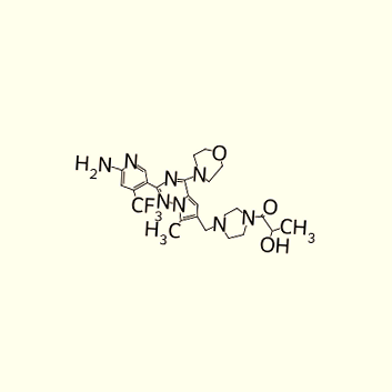 Cc1c(CN2CCN(C(=O)C(C)O)CC2)cc2c(N3CCOCC3)nc(-c3cnc(N)cc3C(F)(F)F)nn12